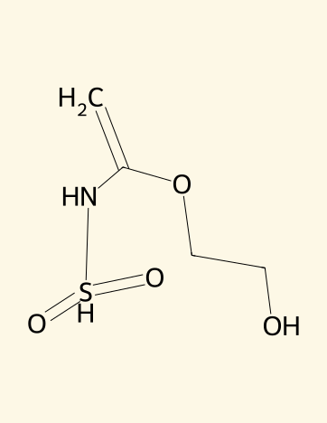 C=C(N[SH](=O)=O)OCCO